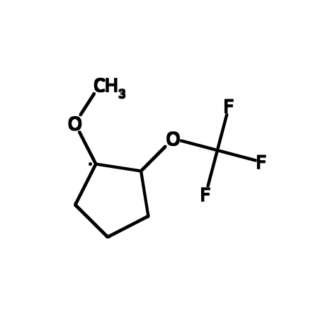 CO[C]1CCCC1OC(F)(F)F